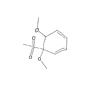 COC1C=CC=CC1(OC)S(C)(=O)=O